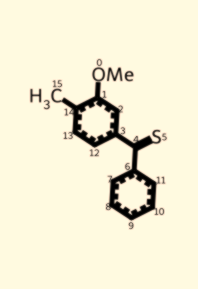 COc1cc(C(=S)c2ccccc2)ccc1C